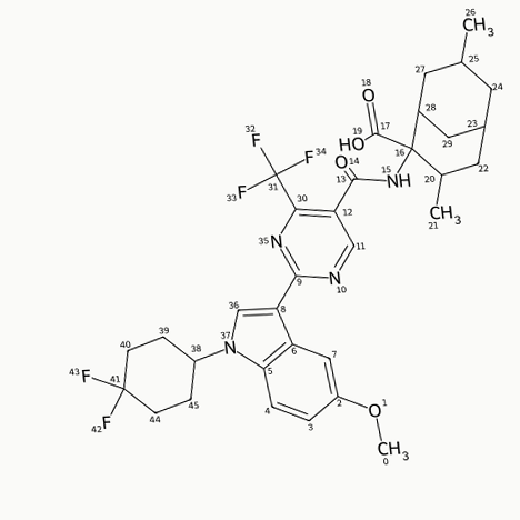 COc1ccc2c(c1)c(-c1ncc(C(=O)NC3(C(=O)O)C(C)CC4CC(C)CC3C4)c(C(F)(F)F)n1)cn2C1CCC(F)(F)CC1